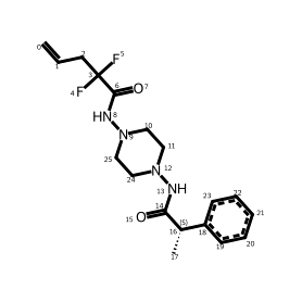 C=CCC(F)(F)C(=O)NN1CCN(NC(=O)[C@@H](C)c2ccccc2)CC1